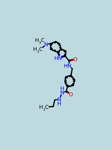 CCCNNC(=O)c1ccc(CNC(=O)c2cc3ccc(N(C)C)cc3[nH]2)cc1